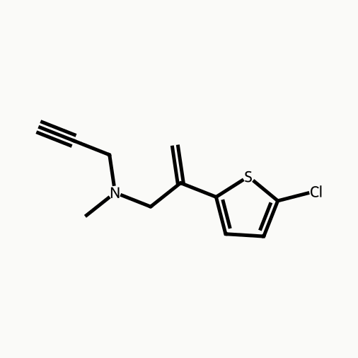 C#CCN(C)CC(=C)c1ccc(Cl)s1